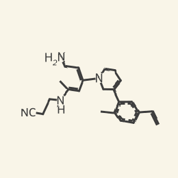 C=Cc1ccc(C)c(C2=CCCN(C(/C=C(\C)NCCC#N)=C/CN)C2)c1